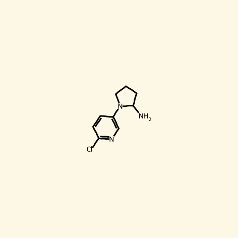 NC1CCCN1c1ccc(Cl)nc1